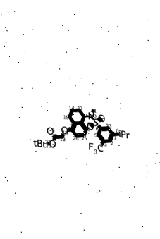 CC(C)c1cc(C(F)(F)F)cc(S(=O)(=O)N(C)[C@@H]2CCCc3c(OCC(=O)OC(C)(C)C)cccc32)c1